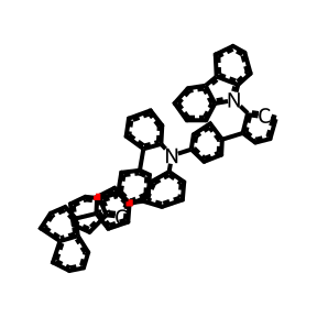 c1cc(-c2ccc(-c3cccc4ccccc34)cc2)cc(N(c2ccc(-c3ccccc3-n3c4ccccc4c4ccccc43)cc2)c2ccccc2-c2ccc3oc4ccccc4c3c2)c1